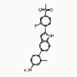 Cc1cc(N)ccc1-c1ccc2[nH]c(-c3ccc(S(C)(=O)=O)cc3F)cc2c1